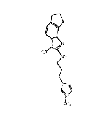 C[n+]1ccn(CCCNc2nn3c4c(ccc3c2N)CCC4)c1